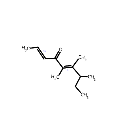 C/C=C/C(=O)/C(C)=C(\C)C(C)CC